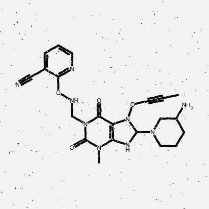 CC#CON1c2c(n(C)c(=O)n(CNOc3ncccc3C#N)c2=O)NC1N1CCCC(N)C1